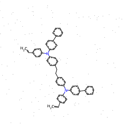 C=Cc1ccc(N(c2ccc(CCc3ccc(N(c4ccc(C=C)cc4)c4ccc(-c5ccccc5)cc4)cc3)cc2)c2ccc(-c3ccccc3)cc2)cc1